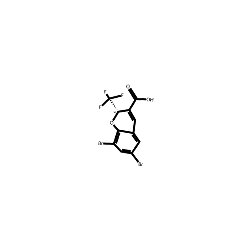 O=C(O)C1=Cc2cc(Br)cc(Br)c2O[C@@H]1C(F)(F)F